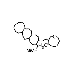 CNCC1CCC2CCC3CCCCCCCC3CCC2CCC1CCC1CCCCCCCC1C